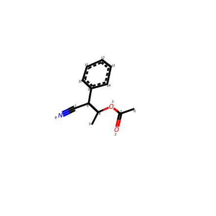 CC(=O)OC(C)C(C#N)c1ccccc1